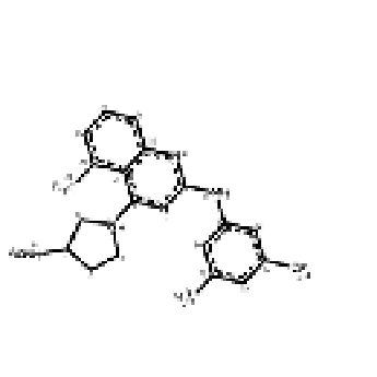 CC(=O)NC1CCN(c2nc(Nc3cc(N)cc(C(F)(F)F)c3)nc3cccc(C)c23)C1